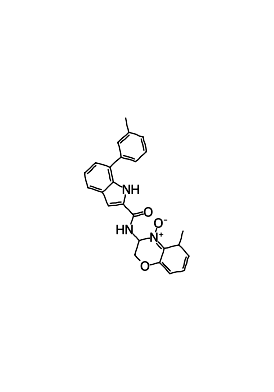 Cc1cccc(-c2cccc3cc(C(=O)NC4COC5=CC=CC(C)C5=[N+]4[O-])[nH]c23)c1